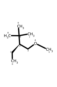 CC[C@H](COC)C(C)(C)C